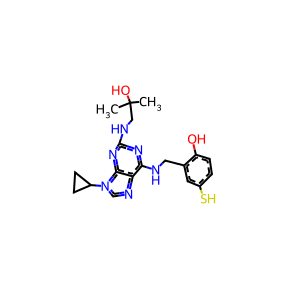 CC(C)(O)CNc1nc(NCc2cc(S)ccc2O)c2ncn(C3CC3)c2n1